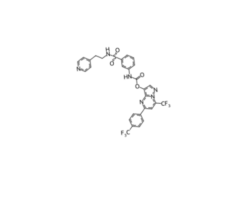 O=C(Nc1cccc(S(=O)(=O)NCCc2ccncc2)c1)Oc1cnn2c(C(F)(F)F)cc(-c3ccc(C(F)(F)F)cc3)nc12